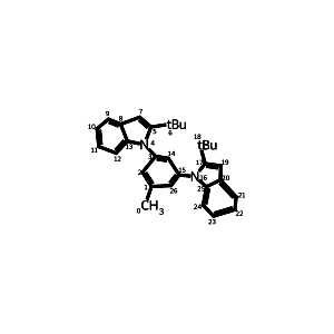 Cc1cc(-n2c(C(C)(C)C)cc3ccccc32)cc(-n2c(C(C)(C)C)cc3ccccc32)c1